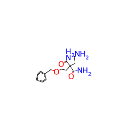 NCCC(CCOCc1ccccc1)(C(N)=O)C(N)=O